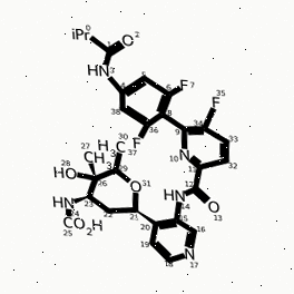 CC(C)C(=O)Nc1cc(F)c(-c2nc(C(=O)Nc3cnccc3[C@H]3C[C@@H](NC(=O)O)[C@](C)(O)C(C)O3)ccc2F)c(F)c1